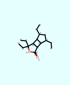 CCC1CC(CC)C2C1C1C(=O)OC(CC)(CC)C12